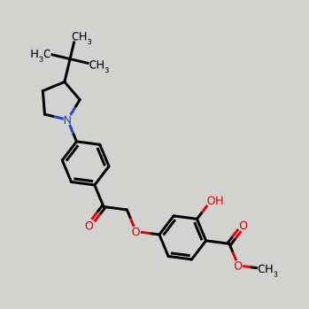 COC(=O)c1ccc(OCC(=O)c2ccc(N3CCC(C(C)(C)C)C3)cc2)cc1O